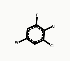 CCc1cc(F)c(Cl)c(Cl)c1